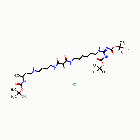 CC(CCNCCCCNC(=O)C(F)C(=O)NCCCCCCN/C(=N/C(=O)OC(C)(C)C)NC(=O)OC(C)(C)C)NC(=O)OC(C)(C)C.Cl